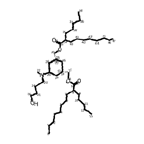 CCCCCCCCC(CCCCC)C(=O)OC[C@@H]1CC(N(C)CCCCO)C[C@H](COC(=O)C(CCCCC)CCCCCCCC)C1